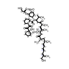 CO[C@@H]1C[C@H](C[C@@H](C)C(CC(=O)[C@H](C)/C=C(\C)[C@@H](O)CC(=O)[C@H](C)C[C@H](C)/C=C/C=C/C=C(\C)CO)OC(=O)[C@@H]2CCCCN2C(=O)C(=O)[C@]2(O)OCCC[C@H]2C)CCC1OC(=O)CO